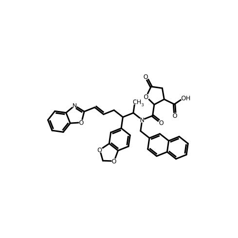 CC(C(CC=Cc1nc2ccccc2o1)c1ccc2c(c1)OCO2)N(Cc1ccc2ccccc2c1)C(=O)C1OC(=O)CC1C(=O)O